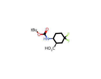 CC(C)(C)OC(=O)N[C@H]1CCC(F)(F)C[C@H]1C(=O)O